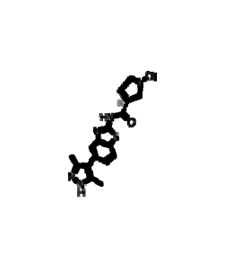 Cc1n[nH]c(C)c1-c1ccc2sc(NC(=O)[C@H]3CCN(C#N)C3)nc2c1